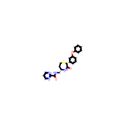 O=C(NC[C@@H]1CCS[C@H](c2cccc(Oc3ccccc3)c2)C(=O)N1)c1ncccn1